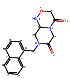 O=C1CN2C(=O)CONC2CN1Cc1cccc2ccccc12